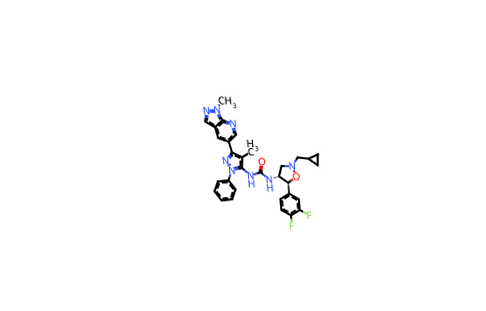 Cc1c(-c2cnc3c(cnn3C)c2)nn(-c2ccccc2)c1NC(=O)N[C@@H]1CN(CC2CC2)O[C@H]1c1ccc(F)c(F)c1